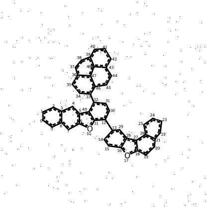 c1ccc2cc3c(cc2c1)oc1c(-c2ccc4oc5ccc6ccccc6c5c4c2)ccc(-c2ccc4ccc5cccc6ccc2c4c56)c13